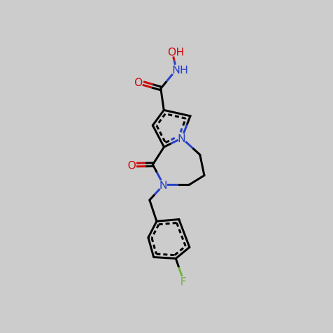 O=C(NO)c1cc2n(c1)CCCN(Cc1ccc(F)cc1)C2=O